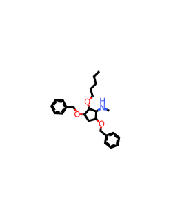 CCCCCOC1C(OCc2ccccc2)CC(OCc2ccccc2)C1NC